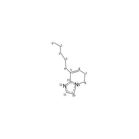 CCCCCC1=CCCn2ccnc21